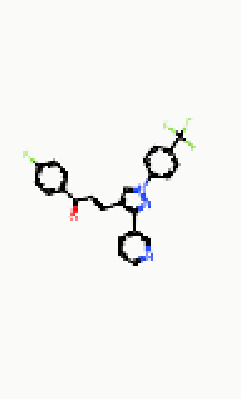 O=C(C=Cc1cn(-c2ccc(C(F)(F)F)cc2)nc1-c1cccnc1)c1ccc(F)cc1